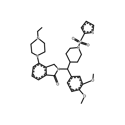 CCN1CCN(c2cccc3c2CN(C(c2ccc(OC)c(OC)c2)C2CCN(S(=O)(=O)c4cccs4)CC2)C3=O)CC1